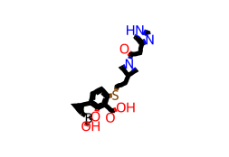 O=C(O)c1c(SCCC2CN(C(=O)Cc3c[nH]cn3)C2)ccc2c1OB(O)C1CC21